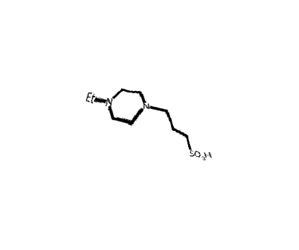 CCN1CCN(CCCS(=O)(=O)O)CC1